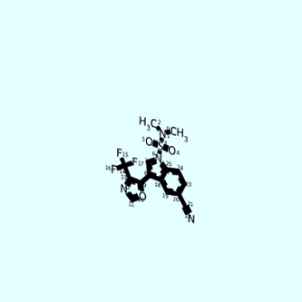 CN(C)S(=O)(=O)n1cc(-c2ocnc2C(F)(F)F)c2cc(C#N)ccc21